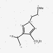 CCOC(=O)c1cn(CCOC)nc1C(F)F